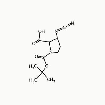 CC(C)(C)OC(=O)N1CCC(N=[N+]=[N-])C1C(=O)O